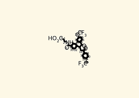 O=C(O)CCNC(=O)c1ccc(C(CC(=O)c2ccc(SC(F)(F)F)cc2)C(=O)c2ccc(OC(F)(F)F)cc2)cc1